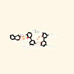 CC(C)(C)c1cc(-c2cc(C(C)(C)C)cc(C(C)(C)C)c2Op2oc3c(C(C)(C)C)cc(C(C)(C)C)cc3c3cc(C(C)(C)C)cc(C(C)(C)C)c3o2)c(OP2Oc3cc4ccccc4cc3O2)c(C(C)(C)C)c1